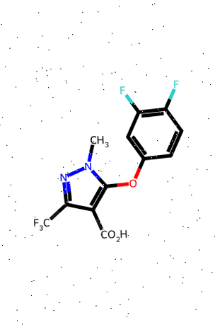 Cn1nc(C(F)(F)F)c(C(=O)O)c1Oc1ccc(F)c(F)c1